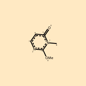 COc1nccc(=O)n1C